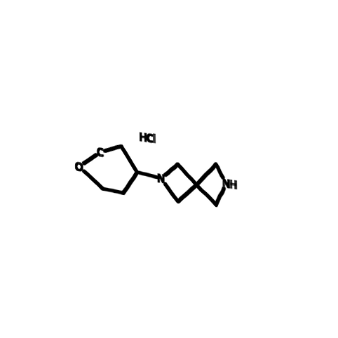 C1CC(N2CC3(CNC3)C2)CCO1.Cl